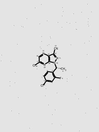 C[C@H](c1ccc(Cl)cc1F)n1nc(C#N)c2ncc(Cl)nc21